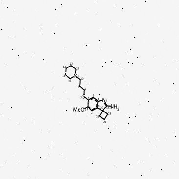 COc1cc2c(cc1SCCCN1CCCCC1)N=C(N)C21CCC1